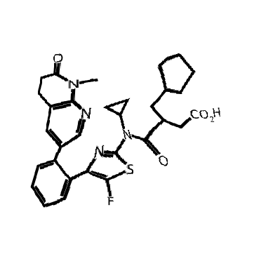 CN1C(=O)CCc2cc(-c3ccccc3-c3nc(N(C(=O)C(CC(=O)O)CC4CCCC4)C4CC4)sc3F)cnc21